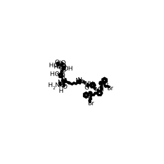 CC1(C)C(/C=C/C2=C(NCc3cccc(C(=O)NCCn4cc(CCCC#Cc5cn([C@H]6C[C@@H](O)C(COP(=O)(O)OP(=O)(O)OP(=O)(O)O)O6)c6nc(N)[nH]c(=O)c56)nn4)c3)C(=C/C=C3/N(/C=C/Br)c4ccccc4C3(C)C)/CCC2)=[N+](/C=C/Br)c2ccccc21